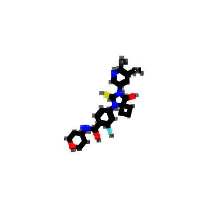 Cc1cc(N2C(=O)C3(CCC3)N(c3ccc(C(=O)NC4CCOCC4)c(F)c3)C2=S)cnc1C#N